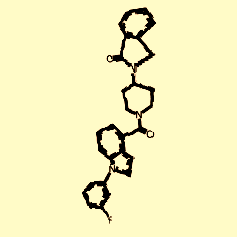 O=C(c1cccc2c1ccn2-c1cccc(F)c1)N1CCC(N2Cc3ccccc3C2=O)CC1